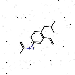 C=Cc1cc(NC(=C)C)ccc1CC(C)C